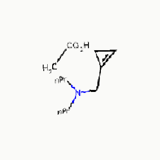 CC(=O)O.CCCN(CCC)CC1=CC1